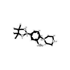 CC(C)(C)c1cc(B2OC(C)(C)C(C)(C)O2)ccc1N1CCOCC1